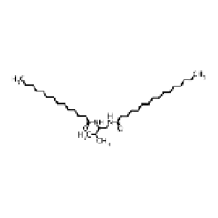 CCCCCCCCCCCCCCCC(=O)NC[C@H](NC(=O)CCCCCCCCCCCCC)C(C)C